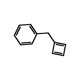 C1=CC(Cc2ccccc2)=C1